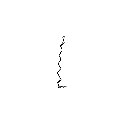 [CH2]CCCCC=CCCCCCCC=CCC